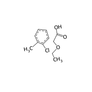 CCOCC(=O)O.Cc1ccccc1Cl